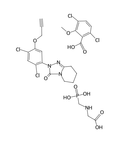 C#CCOc1cc(-n2nc3n(c2=O)CCCC3)c(Cl)cc1Cl.COc1c(Cl)ccc(Cl)c1C(=O)O.O=C(O)CNCP(=O)(O)O